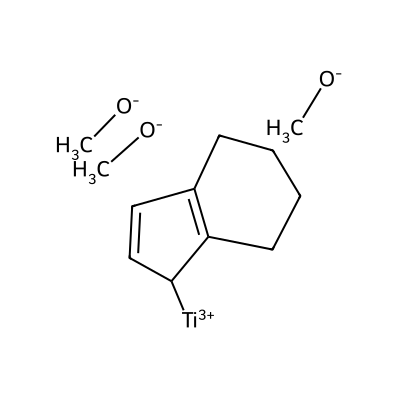 C[O-].C[O-].C[O-].[Ti+3][CH]1C=CC2=C1CCCC2